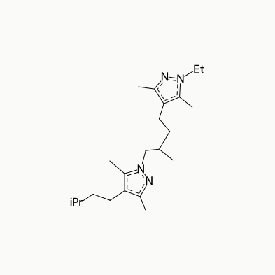 CCn1nc(C)c(CCC(C)Cn2nc(C)c(CCC(C)C)c2C)c1C